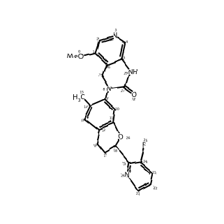 COc1cncc2c1CN(c1cc3c(cc1C)CCC(c1ncccc1F)O3)C(=O)N2